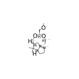 COC[C@@H]1OC[C@@H]2C[C@@]3(C[C@@H](C)O1)[C@H](C)CC[C@H]3C2(C)C